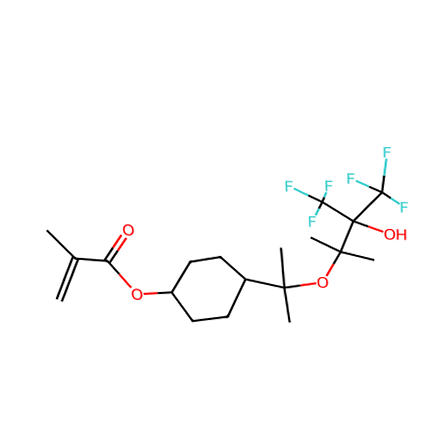 C=C(C)C(=O)OC1CCC(C(C)(C)OC(C)(C)C(O)(C(F)(F)F)C(F)(F)F)CC1